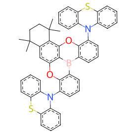 CC1(C)CCC(C)(C)c2c1cc1c3c2Oc2c(cccc2N2c4ccccc4Sc4ccccc42)B3c2cccc(N3c4ccccc4Sc4ccccc43)c2O1